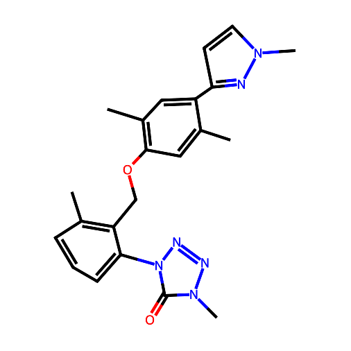 Cc1cc(-c2ccn(C)n2)c(C)cc1OCc1c(C)cccc1-n1nnn(C)c1=O